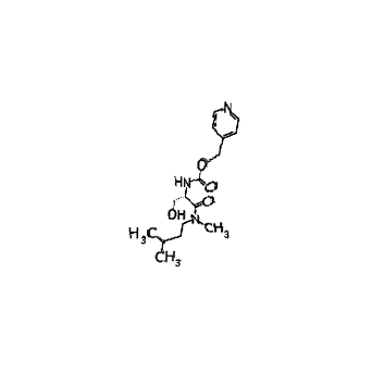 CC(C)CCN(C)C(=O)[C@H](CO)NC(=O)OCc1ccncc1